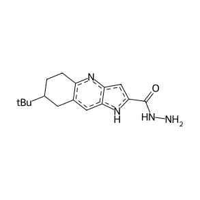 CC(C)(C)C1CCc2nc3cc(C(=O)NN)[nH]c3cc2C1